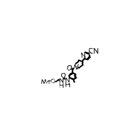 COCCNC(=O)Nc1cc(C(=O)N2CCC(c3ccc(C#N)cn3)CC2)ccc1C